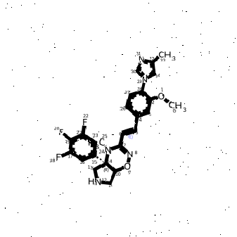 COc1cc(/C=C/C2=NOC3CNC[C@@]3(c3cc(F)c(F)c(F)c3)N2C)ccc1-n1cnc(C)c1